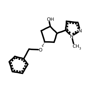 Cn1nccc1C1C[C@H](OCc2ccccc2)CC1O